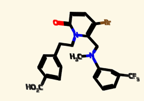 CN(Cc1c(Br)ccc(=O)n1CCc1ccc(C(=O)O)cc1)c1cccc(C(F)(F)F)c1